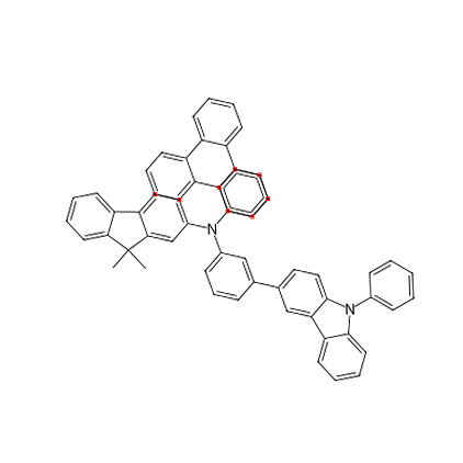 CC1(C)c2ccccc2-c2ccc(N(c3cccc(-c4ccc5c(c4)c4ccccc4n5-c4ccccc4)c3)c3ccccc3-c3ccccc3-c3ccccc3-c3ccccc3)cc21